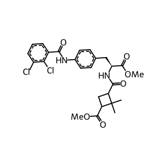 COC(=O)C1CC(C(=O)N[C@@H](Cc2ccc(NC(=O)c3cccc(Cl)c3Cl)cc2)C(=O)OC)C1(C)C